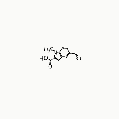 Cn1c(C(=O)O)cc2cc(C=O)ccc21